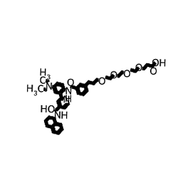 CCN(CC)c1ccc(NC(=O)c2cccc(CCCOCCOCCOCCOCCC(=O)O)c2)c(-c2cc(C(O)N[C@H]3CCCc4ccccc43)ccn2)c1